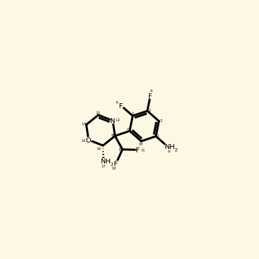 Nc1cc(F)c(F)c(C2(C(F)F)N=CCO[C@H]2N)c1